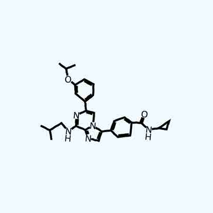 CC(C)CNc1nc(-c2cccc(OC(C)C)c2)cn2c(-c3ccc(C(=O)NC4CC4)cc3)cnc12